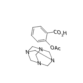 C1N2CN3CN1CN(C2)C3.CC(=O)Oc1ccccc1C(=O)O